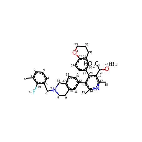 Cc1cccc(CN2CCc3cc(-c4c(C)nc(C)c(C(OC(C)(C)C)C(=O)O)c4-c4ccc5c(c4)CCCO5)ccc3C2)c1F